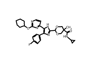 CC1(C(=O)NC2CC2)COC(c2nc(-c3ccc(F)cc3)c(-c3ccnc(OC4CCCCC4)n3)[nH]2)OC1